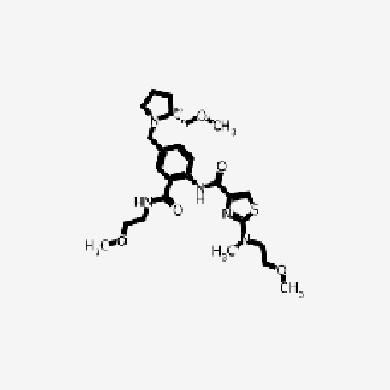 COCCNC(=O)c1cc(CN2CCC[C@@H]2COC)ccc1NC(=O)c1csc(N(C)CCOC)n1